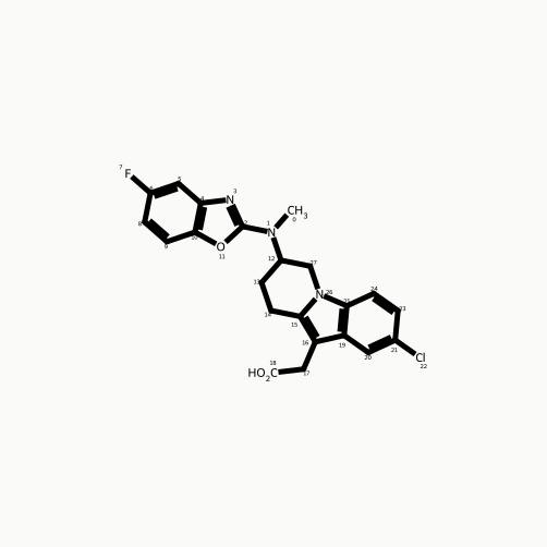 CN(c1nc2cc(F)ccc2o1)C1CCc2c(CC(=O)O)c3cc(Cl)ccc3n2C1